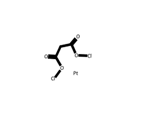 O=C(CC(=O)OCl)OCl.[Pt]